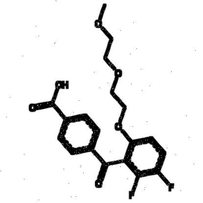 COCCOCCOc1ccc(F)c(F)c1C(=O)c1ccc(C(=O)O)cc1